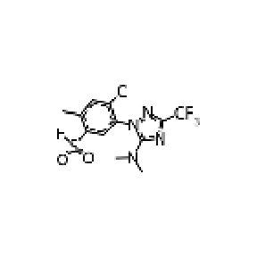 Cc1cc(Cl)c(-n2nc(C(F)(F)F)nc2N(C)C)cc1S(=O)(=O)F